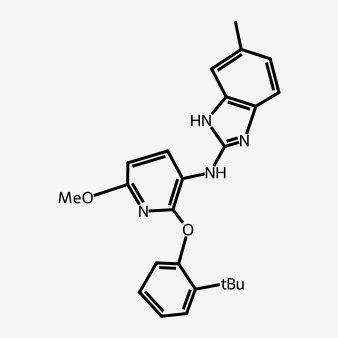 COc1ccc(Nc2nc3ccc(C)cc3[nH]2)c(Oc2ccccc2C(C)(C)C)n1